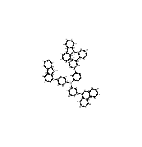 c1cc(-c2cccc(N(c3ccc(-c4cccc5c4oc4ccccc45)cc3)c3cccc(-c4cc5ccccc5c5ccccc45)c3)c2)cc(-c2ccccc2-n2c3ccccc3c3ccccc32)c1